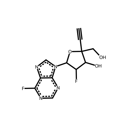 C#CC1(CO)OC(n2cnc3c(F)ncnc32)C(F)C1O